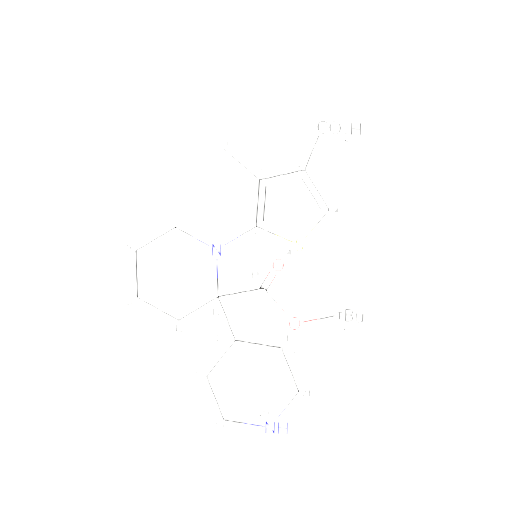 Cc1c(C(=O)O)csc1N1CCCCC1(C(=O)OC(C)(C)C)C1CCNCC1